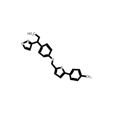 Cc1ccc(-c2ccc(COc3ccc(C(CC(=O)O)c4ccon4)cc3)s2)cc1